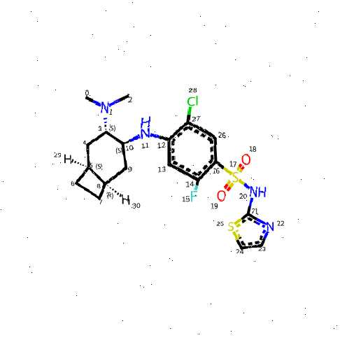 CN(C)[C@H]1C[C@@H]2CC[C@@H]2C[C@@H]1Nc1cc(F)c(S(=O)(=O)Nc2nccs2)cc1Cl